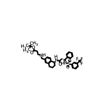 CC(C)(C)OC(=O)CCNCc1ccc2c(c1)CCC[C@H]2NC(=O)C[C@@H](NS(=O)(=O)c1cccc(C(F)(F)F)c1)c1ccccc1